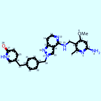 COc1cc(N)nc(C)c1CNc1nccc2nn(Cc3ccc(Cc4ccc(=O)[nH]c4)cc3)cc12